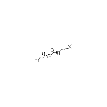 CC(C)CCC(=O)NCCC(=O)NCCCCCCC(C)(C)C